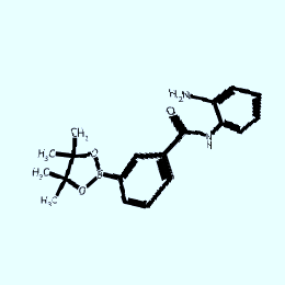 CC1(C)OB(c2cccc(C(=O)Nc3ccccc3N)c2)OC1(C)C